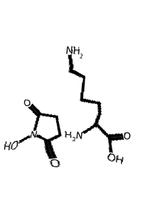 NCCCCC(N)C(=O)O.O=C1CCC(=O)N1O